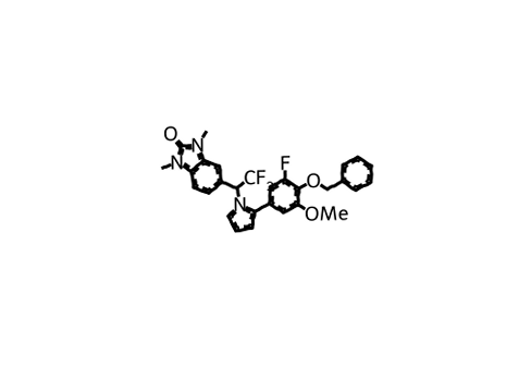 COc1cc(-c2cccn2C(c2ccc3c(c2)n(C)c(=O)n3C)C(F)(F)F)cc(F)c1OCc1ccccc1